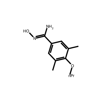 [CH2]CCOc1c(C)cc(C(N)=NO)cc1C